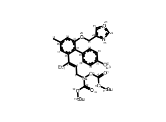 CCC(=CCN(OC(=O)OC(C)(C)C)C(=O)OC(C)(C)C)c1cc(C)cc(OCc2cocn2)c1-c1ccc(C(F)(F)F)cc1